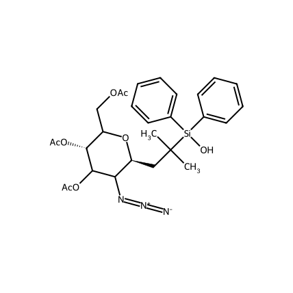 CC(=O)OCC1O[C@@H](CC(C)(C)[Si](O)(c2ccccc2)c2ccccc2)C(N=[N+]=[N-])C(OC(C)=O)[C@@H]1OC(C)=O